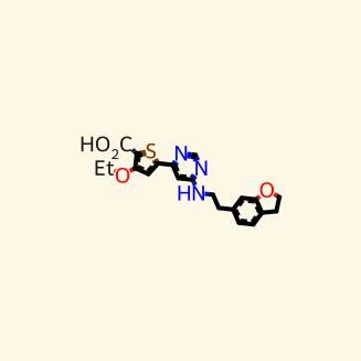 CCOc1cc(-c2cc(NCCc3ccc4c(c3)OCC4)ncn2)sc1C(=O)O